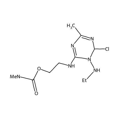 CCNN1C(NCCOC(=O)NC)=NC(C)=NC1Cl